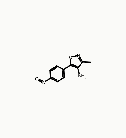 Cc1noc(-c2ccc(N=O)cc2)c1N